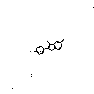 Cc1ccc2[nH]c(-c3ccc(Br)cc3)c(C)c2c1